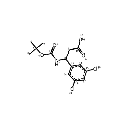 CC(C)(C)OC(=O)NC(CC(=O)O)c1cc(Cl)cc(Cl)c1